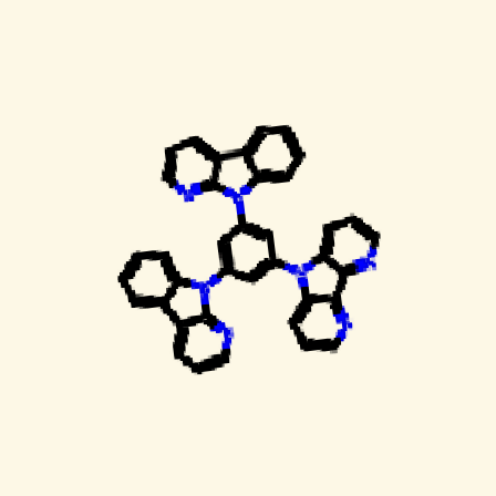 c1ccc2c(c1)c1cccnc1n2-c1cc(-n2c3cccnc3c3ncccc32)cc(-n2c3ccccc3c3cccnc32)c1